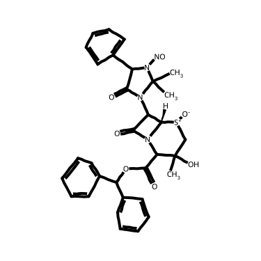 CC1(O)C[S+]([O-])[C@H]2C(N3C(=O)C(c4ccccc4)N(N=O)C3(C)C)C(=O)N2C1C(=O)OC(c1ccccc1)c1ccccc1